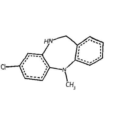 CN1c2ccccc2CNc2cc(Cl)ccc21